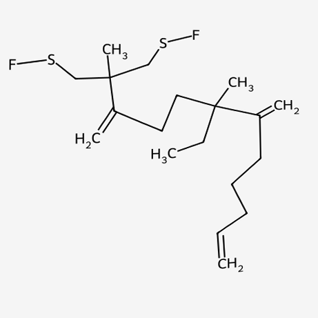 C=CCCCC(=C)C(C)(CC)CCC(=C)C(C)(CSF)CSF